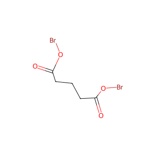 O=C(CCCC(=O)OBr)OBr